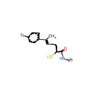 CCc1ccc(/C(C)=C/CC(S)C(=O)NC(C)C)cc1